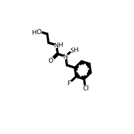 O=C(NCCO)N(S)Cc1cccc(Cl)c1F